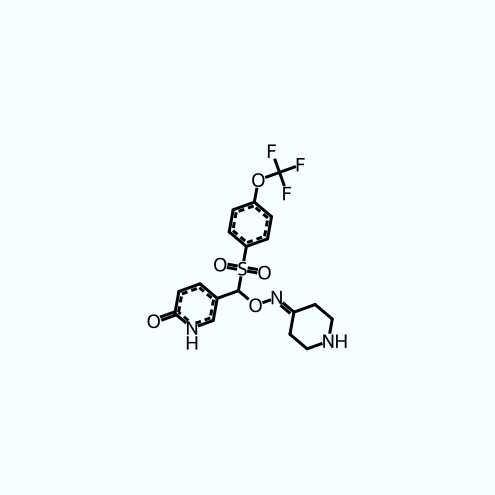 O=c1ccc(C(ON=C2CCNCC2)S(=O)(=O)c2ccc(OC(F)(F)F)cc2)c[nH]1